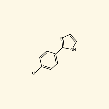 Clc1ccc(-c2ncc[nH]2)cc1